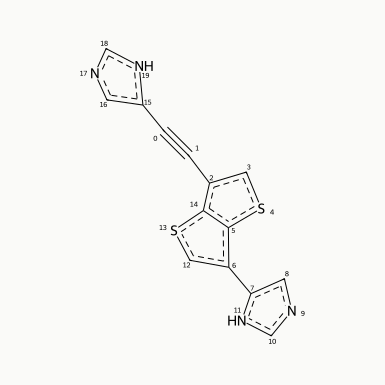 C(#Cc1csc2c(-c3cnc[nH]3)csc12)c1cnc[nH]1